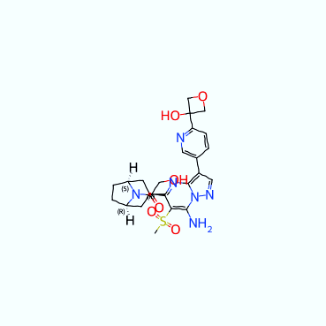 CS(=O)(=O)c1c([C@H]2C[C@H]3CC[C@@H](C2)N3C(=O)CO)nc2c(-c3ccc(C4(O)COC4)nc3)cnn2c1N